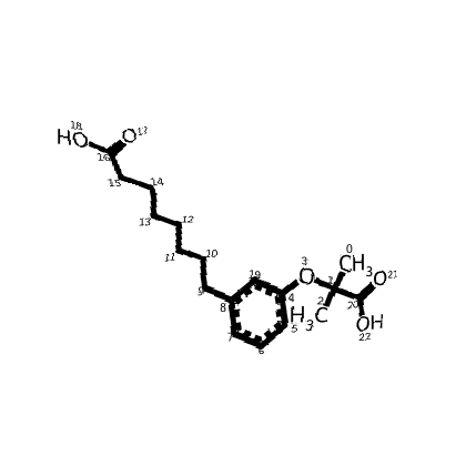 CC(C)(Oc1cccc(CCCCCCCC(=O)O)c1)C(=O)O